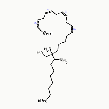 CCCCC/C=C\C/C=C\C/C=C\C/C=C\CCCCC(N)(CO)C(N)CCCCCCCCCCCCCCCC